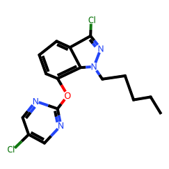 CCCCCn1nc(Cl)c2cccc(Oc3ncc(Cl)cn3)c21